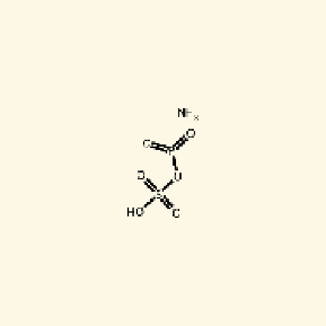 N.O=P(=O)OS(=O)(=O)O